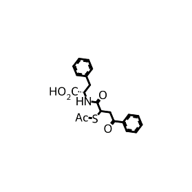 CC(=O)SC(CC(=O)c1ccccc1)C(=O)N[C@@H](Cc1ccccc1)C(=O)O